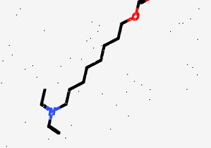 CCN(CC)CCCCCCCCOC=O